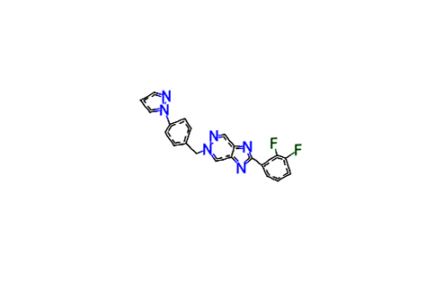 Fc1cccc(-c2nc3cnn(Cc4ccc(-n5cccn5)cc4)cc-3n2)c1F